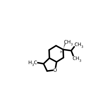 CC1COC2C[C@](C)(C(C)C)CCC12